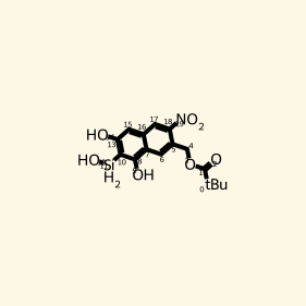 CC(C)(C)C(=O)OCc1cc2c(O)c([SiH2]O)c(O)cc2cc1[N+](=O)[O-]